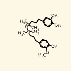 COc1cc(CCC[Si](C)(C)O[Si](C)(C)CCCc2ccc(O)c(O)c2)ccc1O